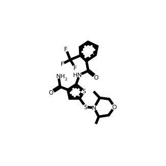 CC1COCC(C)N1Sc1cc(C(N)=O)c(NC(=O)c2ccccc2C(F)(F)F)s1